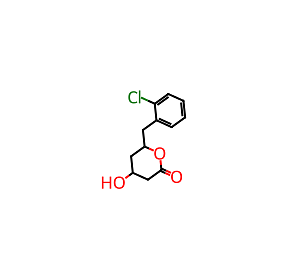 O=C1CC(O)CC(Cc2ccccc2Cl)O1